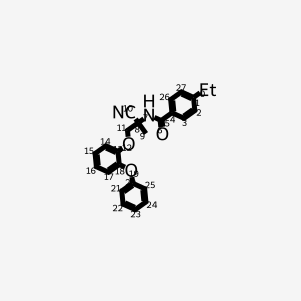 CCc1ccc(C(=O)NC(C)(C#N)COc2ccccc2Oc2ccccc2)cc1